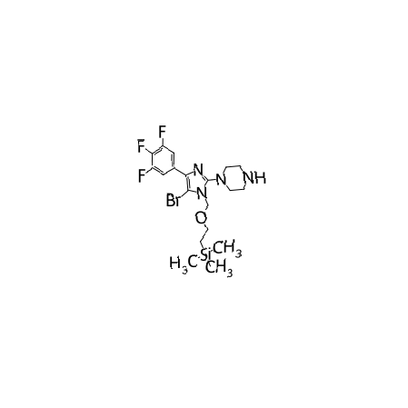 C[Si](C)(C)CCOCn1c(N2CCNCC2)nc(-c2cc(F)c(F)c(F)c2)c1Br